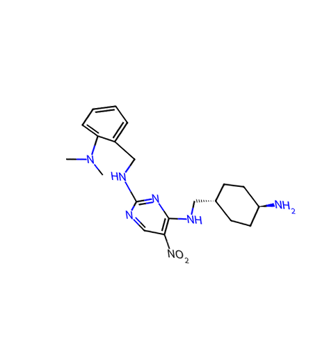 CN(C)c1ccccc1CNc1ncc([N+](=O)[O-])c(NC[C@H]2CC[C@H](N)CC2)n1